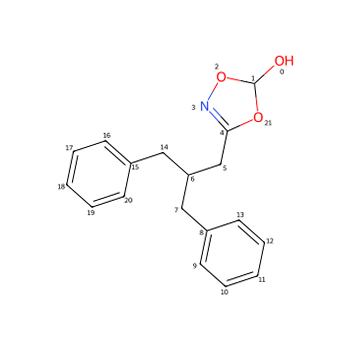 OC1ON=C(CC(Cc2ccccc2)Cc2ccccc2)O1